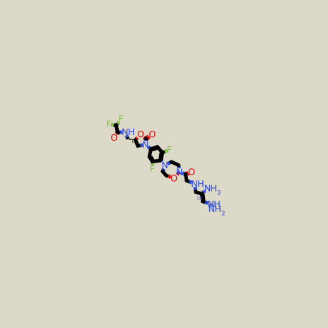 NN/C=C(\N)CNCC(=O)N1CCN(c2c(F)cc(N3C[C@H](CNC(=O)C(F)F)OC3=O)cc2F)CCO1